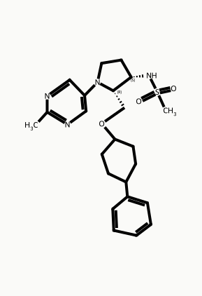 Cc1ncc(N2CC[C@H](NS(C)(=O)=O)[C@@H]2COC2CCC(c3ccccc3)CC2)cn1